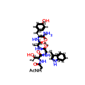 CC(=O)NCC(=O)N[C@H](C(=O)N[C@@H](Cc1c[nH]c2ccccc12)C(=O)N[C@@H](C)C(=O)N[C@@H](Cc1ccc(O)cc1)C(N)=O)[C@@H](C)O